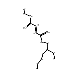 CCCCC(CC)COC(=O)/N=N/C(=O)OCC